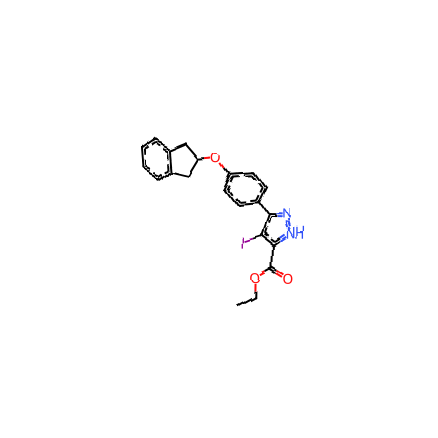 CCOC(=O)c1[nH]nc(-c2ccc(OC3Cc4ccccc4C3)cc2)c1I